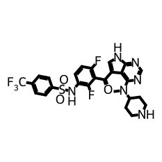 CN(c1ncnc2[nH]cc(C(=O)c3c(F)ccc(NS(=O)(=O)c4ccc(C(F)(F)F)cc4)c3F)c12)C1CCNCC1